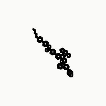 CCCCCC1CCC(c2ccc(OC(=O)c3ccc(-c4ccc5c6c(c7c(c5c4)C4(CC=CC4)OC7=O)C=CC(c4ccccc4)(c4ccc(N5CCOCC5)cc4)O6)cc3)cc2)CC1